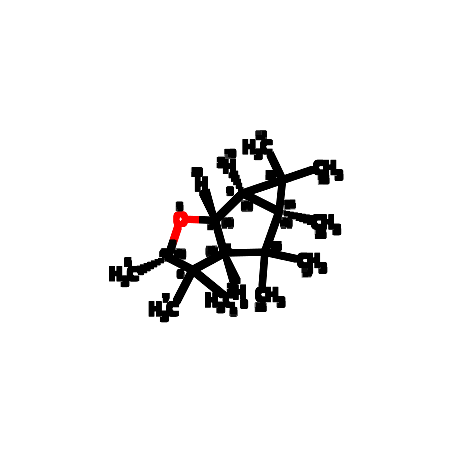 [3H][C@]12[C@H](O[C@@H](C)C1(C)C)[C@@]1([3H])C(C)(C)[C@@]1(C)C2(C)C